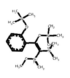 C[SiH](C)C(=C(O[Si](C)(C)C)c1ccccc1O[Si](C)(C)C)[SiH](C)O[SiH3]